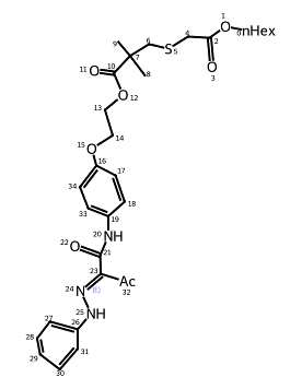 CCCCCCOC(=O)CSCC(C)(C)C(=O)OCCOc1ccc(NC(=O)/C(=N/Nc2ccccc2)C(C)=O)cc1